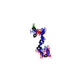 COc1ccc(C(=O)N2CCC(C(=O)N3CCC(CCN4CCC(n5cc(-c6cnc(N)c(C(=O)O[C@@H](C(=O)Nc7ccc(F)cc7)c7ccccc7)n6)cn5)CC4)CC3)CC2)cc1N1CCC(=O)NC1=O